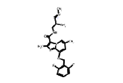 C/N=C/C(N)CNC(=O)c1c(C)nc2c(OCc3c(F)cccc3F)cc(C)cn12